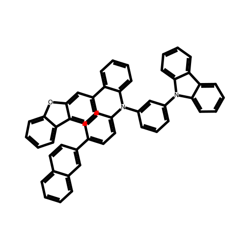 c1cc(N(c2ccc(-c3ccc4ccccc4c3)cc2)c2ccccc2-c2ccc3c(c2)oc2ccccc23)cc(-n2c3ccccc3c3ccccc32)c1